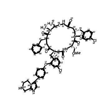 COC[C@@H]1NC(=O)[C@H](C)N(Cc2ccc(Cl)cc2Oc2ccc(-c3cnc4n3CCNC4)cc2)C(=O)C[C@@H](Cc2ccccc2)C(=O)N(C)[C@@H](C)CNC(=O)C[C@H](Cc2ccc(Cl)cc2)N(C)C1=O